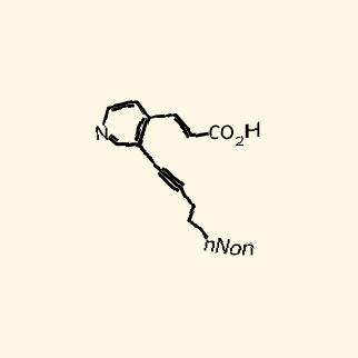 CCCCCCCCCCCC#Cc1cnccc1/C=C/C(=O)O